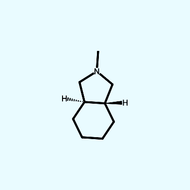 CN1C[C@@H]2CCCC[C@H]2C1